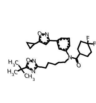 CC(C)(C)c1nc(CCCCCN(C(=O)C2CCC(F)(F)CC2)c2cccc(-c3cc(C4CC4)on3)c2)no1